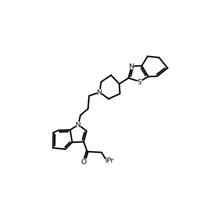 CC(C)CC(=O)c1cn(CCCN2CCC(c3nc4c(s3)C=CCC4)CC2)c2ccccc12